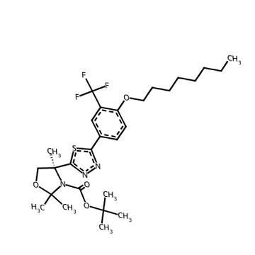 CCCCCCCCOc1ccc(-c2nnc([C@]3(C)COC(C)(C)N3C(=O)OC(C)(C)C)s2)cc1C(F)(F)F